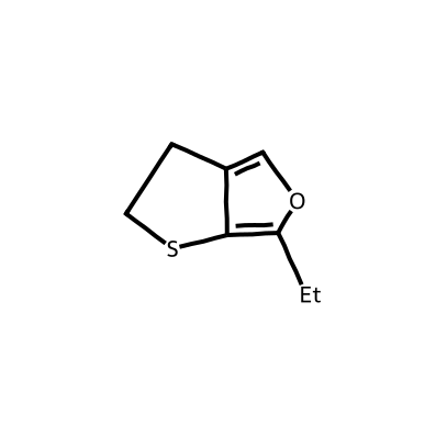 CCc1occ2c1SCC2